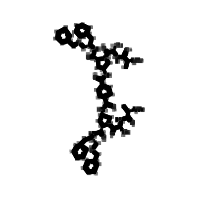 CN[C@@H](C)C(=O)N[C@H](C(=O)N1C[C@@H](NC(=O)c2ccc(C(=O)N[C@H]3C[C@@H](C(=O)N[C@H](COCc4ccccc4)Cc4ccccc4)N(C(=O)[C@@H](NC(=O)[C@H](C)NC)C(C)(C)C)C3)cc2)C[C@H]1C(=O)N[C@H](COCc1ccccc1)Cc1ccccc1)C(C)(C)C